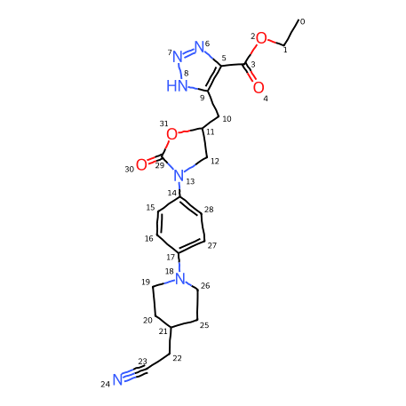 CCOC(=O)c1nn[nH]c1CC1CN(c2ccc(N3CCC(CC#N)CC3)cc2)C(=O)O1